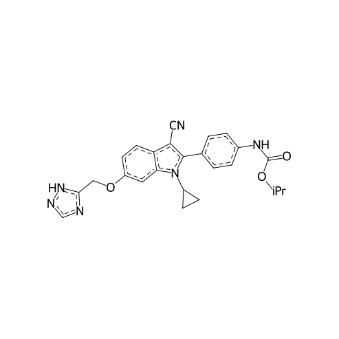 CC(C)OC(=O)Nc1ccc(-c2c(C#N)c3ccc(OCc4ncn[nH]4)cc3n2C2CC2)cc1